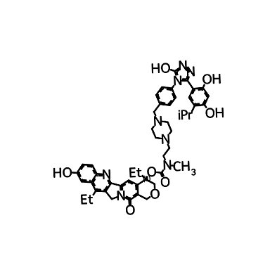 CCc1c2c(nc3ccc(O)cc13)-c1cc3c(c(=O)n1C2)COC[C@@]3(CC)OC(=O)N(C)CCN1CCN(Cc2ccc(-n3c(O)nnc3-c3cc(C(C)C)c(O)cc3O)cc2)CC1